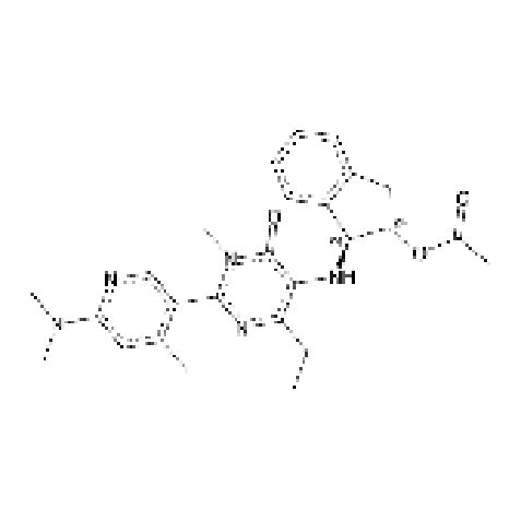 CCc1nc(-c2cnc(N(C)C)cc2C)n(C)c(=O)c1N[C@H]1c2ccccc2C[C@@H]1OC(C)=O